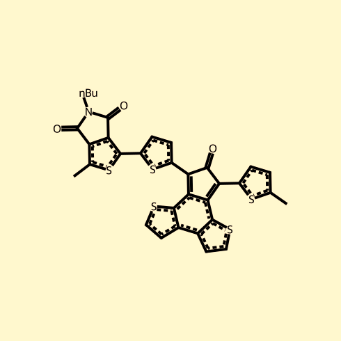 CCCCN1C(=O)c2c(C)sc(-c3ccc(C4=c5c(c6sccc6c6ccsc56)=C(c5ccc(C)s5)C4=O)s3)c2C1=O